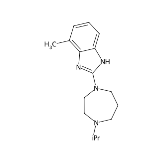 Cc1cccc2[nH]c(N3CCCN(C(C)C)CC3)nc12